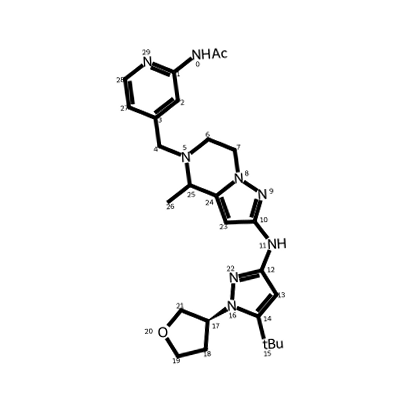 CC(=O)Nc1cc(CN2CCn3nc(Nc4cc(C(C)(C)C)n([C@H]5CCOC5)n4)cc3C2C)ccn1